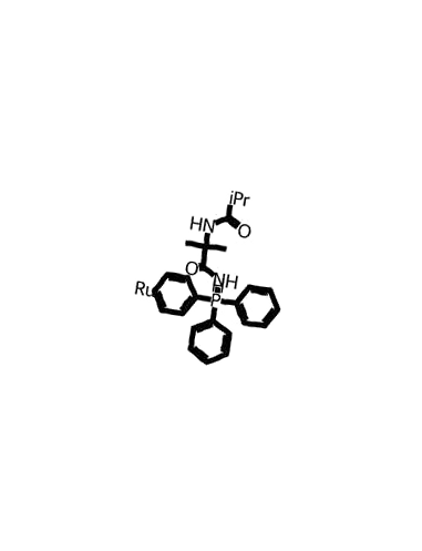 CC(C)C(=O)NC(C)(C)C(=O)N[PH](c1ccccc1)(c1ccccc1)c1ccccc1.[Ru]